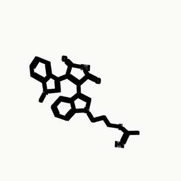 CC(=N)SCCCn1cc(C2=C(c3cn(C)c4ccccc34)C(=O)NC2=O)c2ccccc21